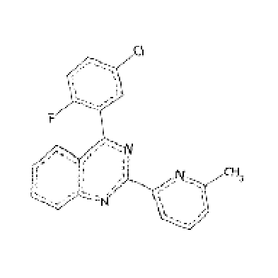 Cc1cccc(-c2nc(-c3cc(Cl)ccc3F)c3ccccc3n2)n1